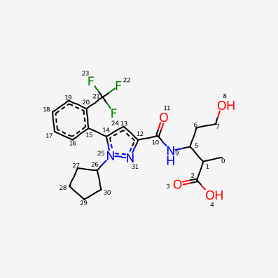 CC(C(=O)O)C(CCO)NC(=O)c1cc(-c2ccccc2C(F)(F)F)n(C2CCCC2)n1